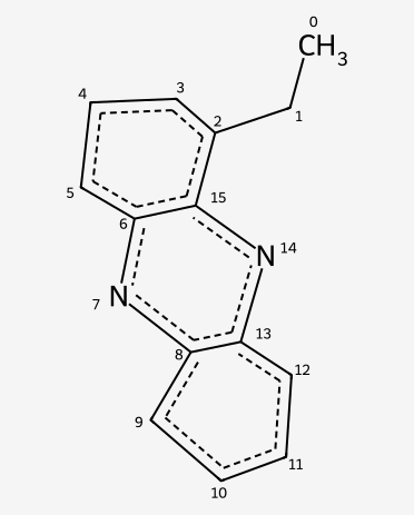 CCc1cccc2nc3ccccc3nc12